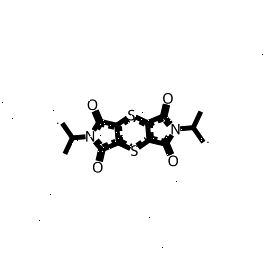 [CH2]C(C)n1c(=O)c2sc3c(=O)n(C([CH2])C)c(=O)c3sc2c1=O